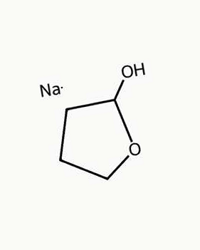 OC1CCCO1.[Na]